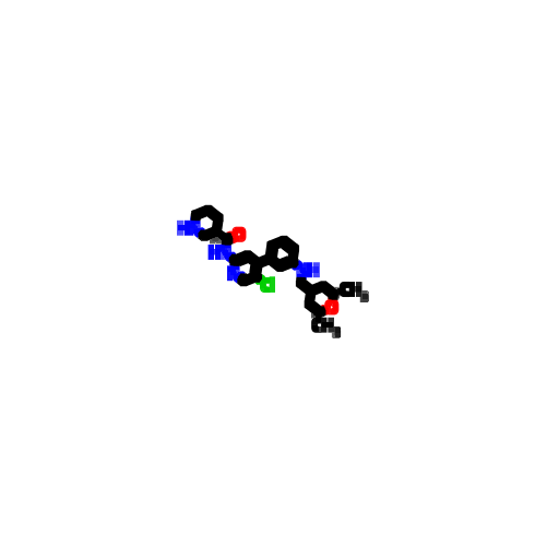 C[C@@H]1CC(CNc2cccc(-c3cc(NC(=O)[C@@H]4CCCNC4)ncc3Cl)c2)C[C@H](C)O1